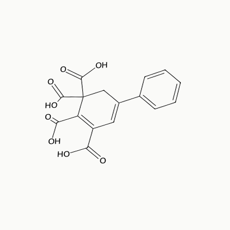 O=C(O)C1=C(C(=O)O)C(C(=O)O)(C(=O)O)CC(c2ccccc2)=C1